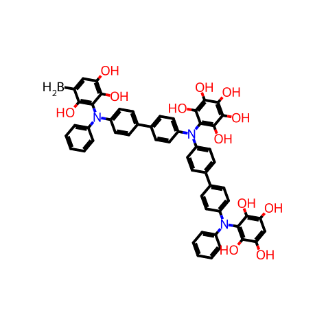 Bc1cc(O)c(O)c(N(c2ccccc2)c2ccc(-c3ccc(N(c4ccc(-c5ccc(N(c6ccccc6)c6c(O)c(O)cc(O)c6O)cc5)cc4)c4c(O)c(O)c(O)c(O)c4O)cc3)cc2)c1O